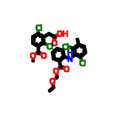 CCOCOC(=O)c1ccccc1Nc1c(Cl)ccc(C)c1Cl.COC(=O)c1ccc(Cl)c(CC(=O)O)c1Cl